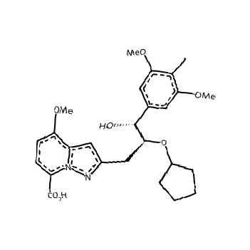 COc1cc([C@@H](O)[C@H](Cc2cc3c(OC)ccc(C(=O)O)n3n2)OC2CCCC2)cc(OC)c1C